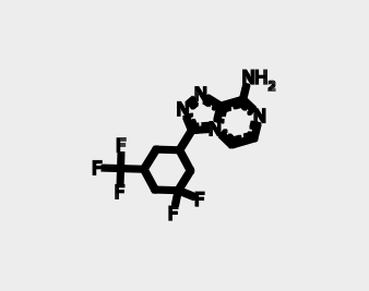 Nc1nccn2c(C3CC(C(F)(F)F)CC(F)(F)C3)nnc12